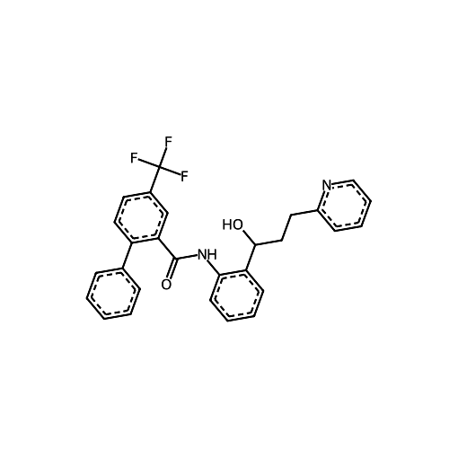 O=C(Nc1ccccc1C(O)CCc1ccccn1)c1cc(C(F)(F)F)ccc1-c1ccccc1